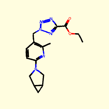 CCOC(=O)c1nnn(Cc2ccc(N3CC4CC4C3)nc2C)n1